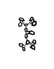 C1=CC2c3ccccc3N(c3cc(-c4ccc5c6ccc(-c7cc(-n8c9ccccc9c9ccccc98)cc(-n8c9ccccc9c9ccccc98)c7)cc6c6ccccc6c5c4)cc(-n4c5ccccc5c5ccccc54)c3)C2C=C1